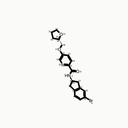 O=C(N[C@@H]1Cc2ccc(Br)cc2C1)c1ccc(OC[C@@H]2CCCO2)cn1